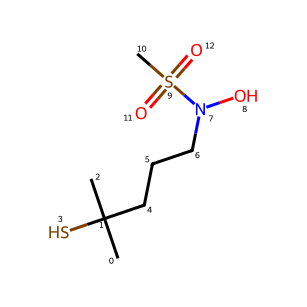 CC(C)(S)CCCN(O)S(C)(=O)=O